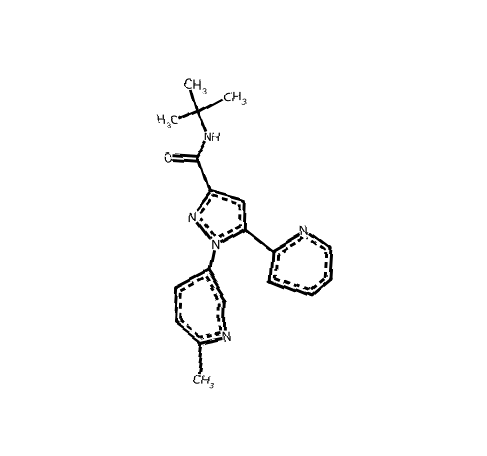 Cc1ccc(-n2nc(C(=O)NC(C)(C)C)cc2-c2ccccn2)cn1